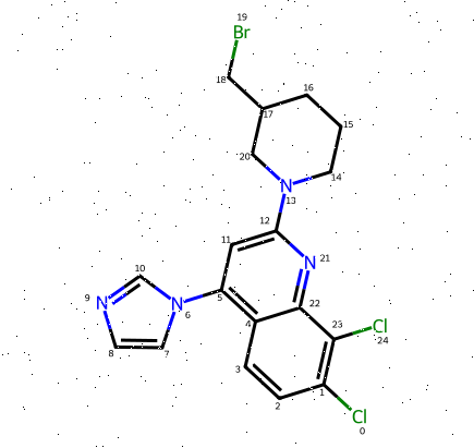 Clc1ccc2c(-n3ccnc3)cc(N3CCCC(CBr)C3)nc2c1Cl